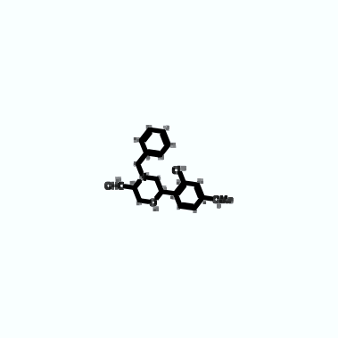 COc1ccc(C2CN(Cc3ccccc3)C(C=O)CO2)c(Cl)c1